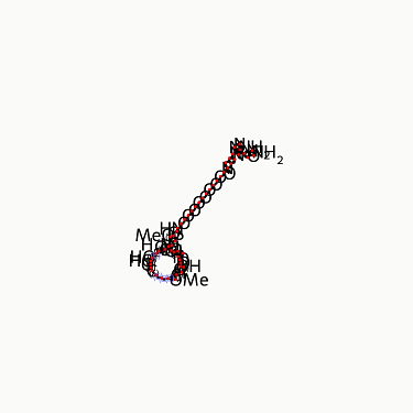 CO[C@H]1C[C@@H]2CC[C@@H](C)[C@@](O)(O2)C(=O)C(=O)N2CCCC[C@H]2C(=O)O[C@H]([C@H](N)C[C@@H]2CC[C@@H](OC(=S)NCCOCCOCCOCCOCCOCCOCCOCCOCCC(=O)N3CCc4cc(Cn5nc(-c6ccc7oc(N)nc7c6)c6c(N)ncnc65)ccc4C3)[C@H](OC)C2)C[C@@H](O)[C@H](C)/C=C(\C)[C@@H](O)[C@@H](O)C(=O)[C@H](C)C[C@H](C)/C=C/C=C/C=C/1C